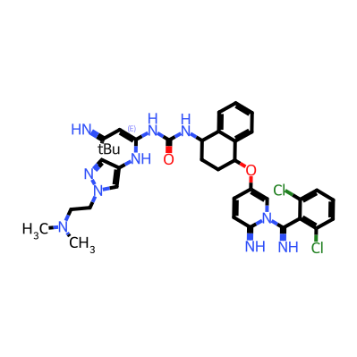 CN(C)CCn1cc(N/C(=C\C(=N)C(C)(C)C)NC(=O)NC2CCC(Oc3ccc(=N)n(C(=N)c4c(Cl)cccc4Cl)c3)c3ccccc32)cn1